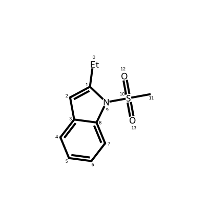 CCc1cc2ccccc2n1S(C)(=O)=O